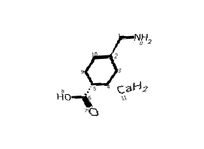 NC[C@H]1CC[C@H](C(=O)O)CC1.[CaH2]